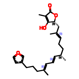 CC1=C(O)[C@@H](C/C(C)=C/CC[C@H](C)/C=C/C=C(\C)CCCc2ccoc2)OC1=O